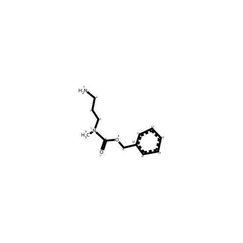 CN(CCCN)C(=O)OCc1ccccc1